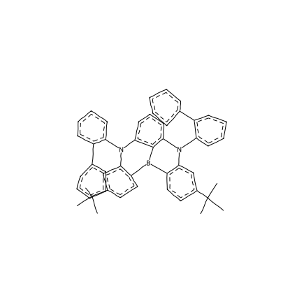 CC(C)(C)c1ccc2c(c1)N(c1ccccc1-c1ccccc1)c1cccc3c1B2c1ccc(C(C)(C)C)cc1N3c1ccccc1-c1ccccc1